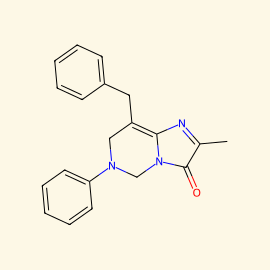 CC1=NC2=C(Cc3ccccc3)CN(c3ccccc3)CN2C1=O